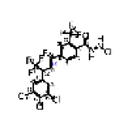 O=C(NNCl)c1ccc(/C(F)=C/C(c2cc(Cl)c(Cl)c(Cl)c2)C(F)(F)F)cc1C(F)(F)F